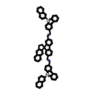 C(=C\c1ccc2c(c1)c1ccccc1n2-c1ccc2ccccc2c1)/c1ccc2c(c1)C1(CCc3cc4ccccc4cc31)c1cc(/C=C/c3ccc4c(c3)c3ccccc3n4-c3ccc4ccccc4c3)ccc1-2